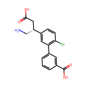 NC[C@H](CC(=O)O)c1ccc(Cl)c(-c2cccc(C(=O)O)c2)c1